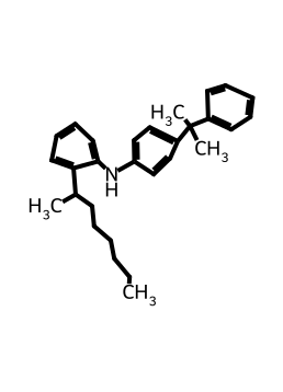 CCCCCCC(C)c1ccccc1Nc1ccc(C(C)(C)c2ccccc2)cc1